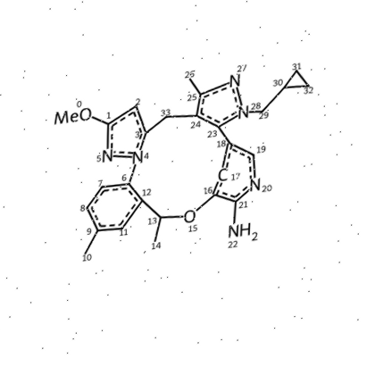 COc1cc2n(n1)-c1ccc(C)cc1C(C)Oc1cc(cnc1N)-c1c(c(C)nn1CC1CC1)C2